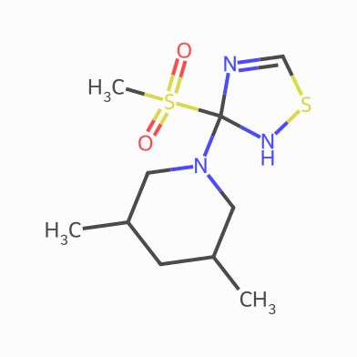 CC1CC(C)CN(C2(S(C)(=O)=O)N=CSN2)C1